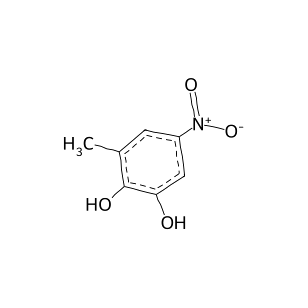 Cc1cc([N+](=O)[O-])cc(O)c1O